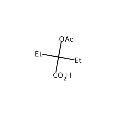 CCC(CC)(OC(C)=O)C(=O)O